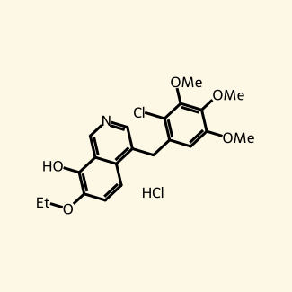 CCOc1ccc2c(Cc3cc(OC)c(OC)c(OC)c3Cl)cncc2c1O.Cl